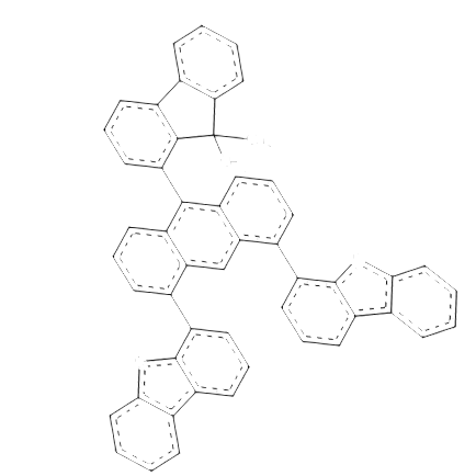 CC1(C)c2ccccc2-c2cccc(-c3c4cccc(-c5cccc6c5oc5ccccc56)c4cc4c(-c5cccc6c5oc5ccccc56)cccc34)c21